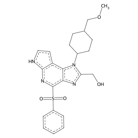 COCC1CCC(n2c(CO)nc3c(S(=O)(=O)c4ccccc4)nc4[nH]ccc4c32)CC1